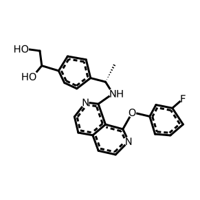 C[C@H](Nc1nccc2ccnc(Oc3cccc(F)c3)c12)c1ccc(C(O)CO)cc1